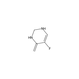 C=C1NCNC=C1F